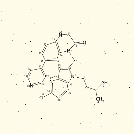 CC(C)CCn1c(Cn2c(=O)cnc3ccc(-c4ccncc4)cc32)nc2nc(Cl)ccc21